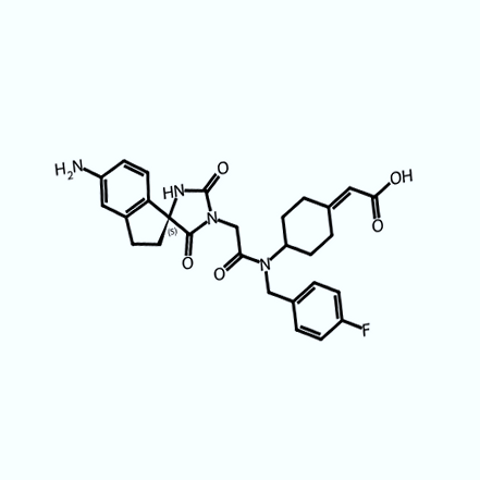 Nc1ccc2c(c1)CC[C@]21NC(=O)N(CC(=O)N(Cc2ccc(F)cc2)C2CCC(=CC(=O)O)CC2)C1=O